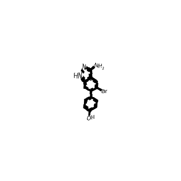 Nc1n[nH]c2cc(-c3ccc(O)cc3)c(Br)cc12